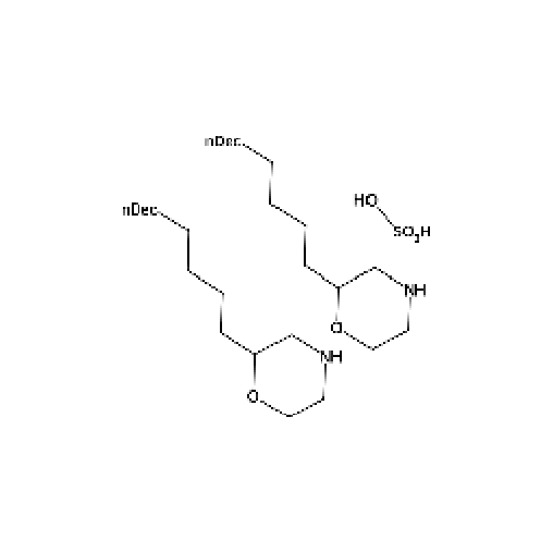 CCCCCCCCCCCCCCC1CNCCO1.CCCCCCCCCCCCCCC1CNCCO1.O=S(=O)(O)O